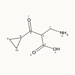 NCC(C(=O)O)C(=O)C1CC1